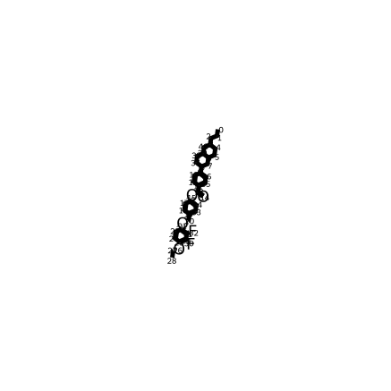 CCCC1CCC2CC(c3ccc(C(=O)Oc4ccc(COc5ccc(OCC)c(F)c5F)cc4)cc3)CCC2C1